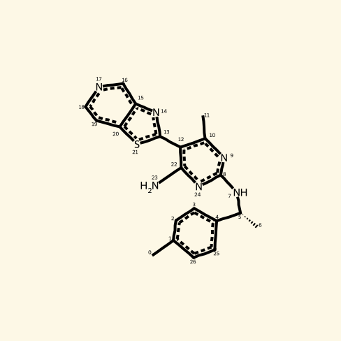 Cc1ccc([C@@H](C)Nc2nc(C)c(-c3nc4cnccc4s3)c(N)n2)cc1